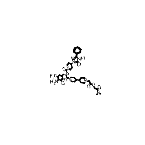 CN(C)C(=O)COC(=O)CN1CCC(C2CCN(C(=O)[C@@H](Cc3cc(Cl)c(N)c(C(F)(F)F)c3)OC(=O)N3CCC(n4nc(-c5ccccc5)[nH]c4=O)CC3)CC2)CC1